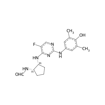 Cc1cc(Nc2ncc(F)c(N[C@@H]3CCC[C@@H]3NC=O)n2)cc(C)c1O